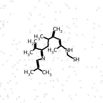 C=C(C)/C(CC(C)C(=C)/C=C(\C)NCS)=N\C=C(C)C